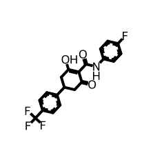 O=C1CC(c2ccc(C(F)(F)F)cc2)CC(O)=C1C(=O)Nc1ccc(F)cc1